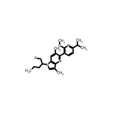 CCCC(CF)n1cc(C)c2nc(-c3ccc(C(C)C)nc3OC)c(C)cc21